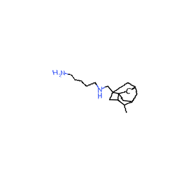 CC1C2CC3CC4(CNCCCCCN)CC1C4(C3)C2